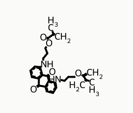 C=C(C)C(=C)OCCCNc1cccc2c1C(=O)c1c(NCCCOC(=O)C(=C)C)cccc1C2=O